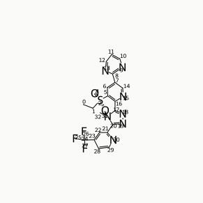 CCS(=O)(=O)c1cc(-c2ncccn2)cnc1-c1nnc(-c2cc(C(F)(F)F)ccn2)n1C